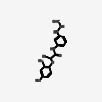 CCC(Oc1ccc(C(C)(C)C)cc1C(C)(C)C)C(=O)Nc1cccc(NNC=O)c1